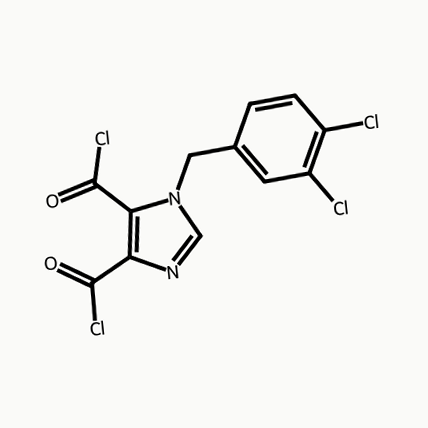 O=C(Cl)c1ncn(Cc2ccc(Cl)c(Cl)c2)c1C(=O)Cl